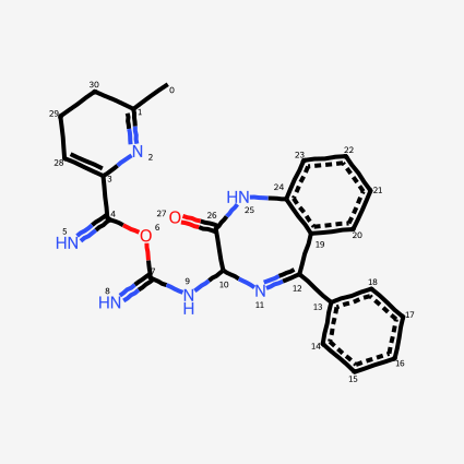 CC1=NC(C(=N)OC(=N)NC2N=C(c3ccccc3)c3ccccc3NC2=O)=CCC1